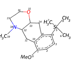 COc1ccc([Si](C)(C)C)c2c1CC1C(C2)OCCN1C